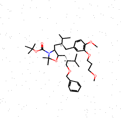 COCCCOc1cc(C[C@@H](CC2C(C[C@@H](COCc3ccccc3)C(C)C)OC(C)(C)N2C(=O)OC(C)(C)C)C(C)C)ccc1OC